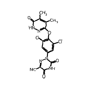 Cc1c(Oc2c(Cl)cc(-n3nc(C#N)c(=O)[nH]c3=O)cc2Cl)n[nH]c(=O)c1C